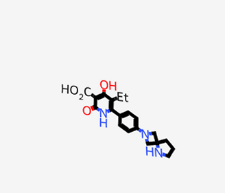 CCc1c(-c2ccc(N3CC4(CCCN4)C3)cc2)[nH]c(=O)c(C(=O)O)c1O